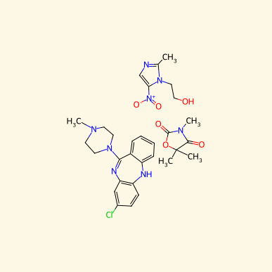 CN1C(=O)OC(C)(C)C1=O.CN1CCN(C2=Nc3cc(Cl)ccc3Nc3ccccc32)CC1.Cc1ncc([N+](=O)[O-])n1CCO